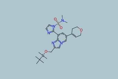 CN(C)S(=O)(=O)n1ccnc1-c1cc(C2=CCOCC2)cn2cc(CO[Si](C)(C)C(C)(C)C)nc12